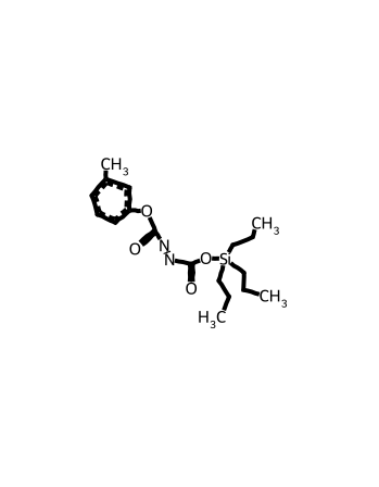 CCC[Si](CCC)(CCC)OC(=O)N=NC(=O)Oc1cccc(C)c1